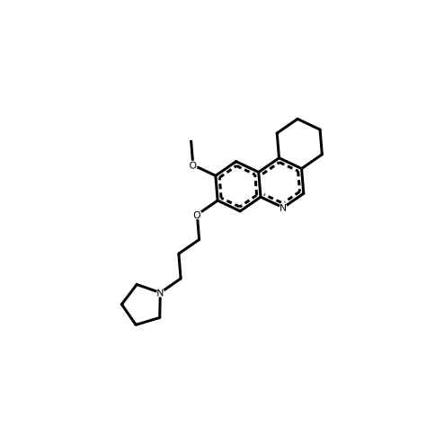 COc1cc2c3c(cnc2cc1OCCCN1CCCC1)CCCC3